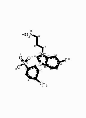 Cc1ccc(S(=O)(=O)[O-])cc1.O=S(=O)(O)CCC[n+]1csc2ccc(F)cc21